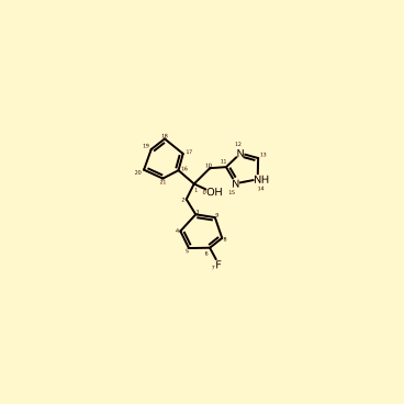 OC(Cc1ccc(F)cc1)(Cc1nc[nH]n1)c1ccccc1